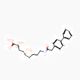 C[C@H](CC[C@@H](O)C(=O)O)C[C@H](O)CCNC(=O)Cc1ccc(-c2ccccc2)cc1